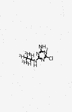 [2H]C([2H])([2H])C([2H])([2H])Nc1nc(N)nc(Cl)n1